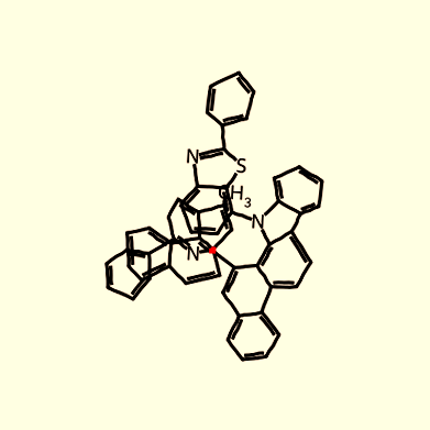 CC1=C/C(c2cc3ccccc3c3ccc4c5ccccc5n(-c5cccc6nc(-c7ccccc7)sc56)c4c23)/N=C(/c2ccccc2)C\C=C\1c1cccc2ccccc12